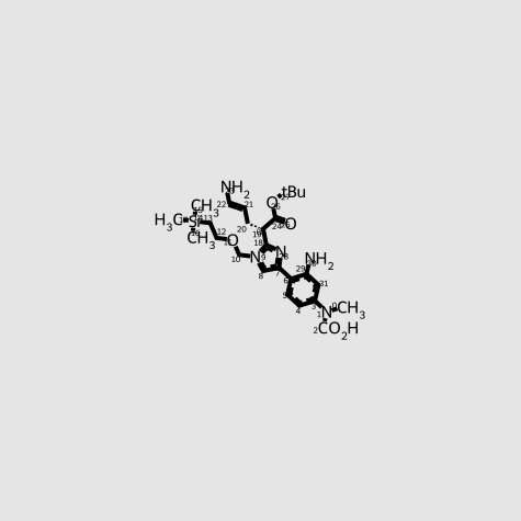 CN(C(=O)O)c1ccc(-c2cn(COCC[Si](C)(C)C)c([C@H](CC=CN)C(=O)OC(C)(C)C)n2)c(N)c1